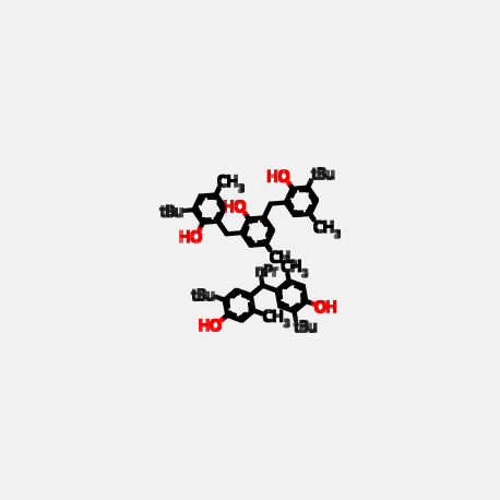 CCCC(c1cc(C(C)(C)C)c(O)cc1C)c1cc(C(C)(C)C)c(O)cc1C.Cc1cc(Cc2cc(C)cc(C(C)(C)C)c2O)c(O)c(Cc2cc(C)cc(C(C)(C)C)c2O)c1